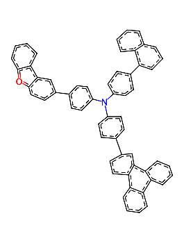 c1ccc2c(-c3ccc(N(c4ccc(-c5ccc6oc7ccccc7c6c5)cc4)c4ccc(-c5ccc6c7ccccc7c7ccccc7c6c5)cc4)cc3)cccc2c1